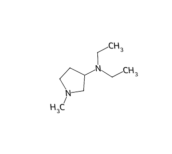 CCN(CC)C1CCN(C)C1